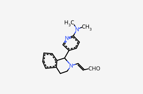 CN(C)c1ccc(C2c3ccccc3CCN2C=CC=O)cn1